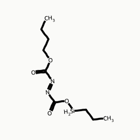 CCCCOC(=O)/N=N/C(=O)O[SiH2]CCC